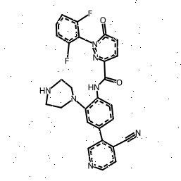 N#Cc1ccncc1-c1ccc(NC(=O)c2ccc(=O)n(-c3c(F)cccc3F)n2)c(N2CCNCC2)c1